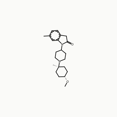 CO[C@H]1CC[C@](C)(N2CCC(N3C(=O)Cc4ccc(C)cc43)CC2)CC1